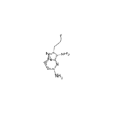 Nc1ccn2nc(CCF)c(N)c2n1